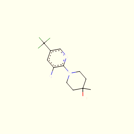 CC1(O)CCN(c2ncc(C(F)(F)F)cc2N)CC1